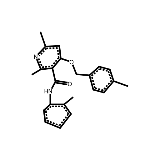 Cc1ccc(COc2cc(C)nc(C)c2C(=O)Nc2ccccc2C)cc1